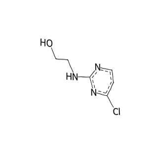 OCCNc1nccc(Cl)n1